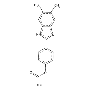 Cc1cc2nc(-c3ccc(OC(=O)C(C)(C)C)cc3)[nH]c2cc1C